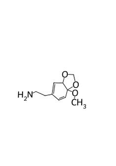 COC12C=CC(CCN)=CC1OCO2